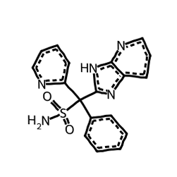 NS(=O)(=O)C(c1ccccc1)(c1ccccn1)c1nc2cccnc2[nH]1